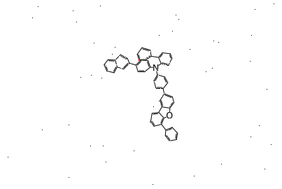 c1ccc(-c2ccccc2N(c2ccc(-c3ccc4ccccc4c3)cc2)c2ccc(-c3ccc4oc5c(-c6ccccc6)cccc5c4c3)cc2)cc1